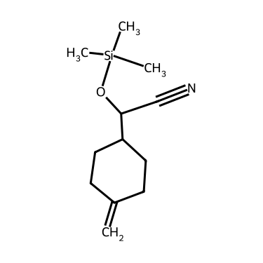 C=C1CCC(C(C#N)O[Si](C)(C)C)CC1